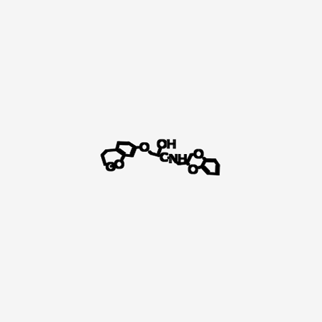 OC(CNCC1COc2ccccc2O1)COc1ccc2c(c1)OOCCC2